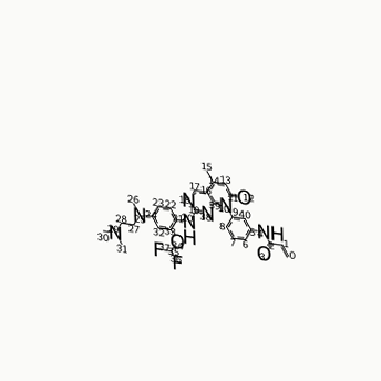 C=CC(=O)Nc1cccc(-n2c(=O)cc(C)c3cnc(Nc4ccc(N(C)CCN(C)C)cc4OC(F)F)nc32)c1